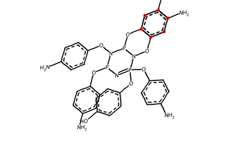 Nc1ccc(ON2P(Oc3ccc(N)cc3)N=P(Oc3ccc(N)cc3)(Oc3ccc(O)cc3)N(Oc3ccc(N)cc3)P2Oc2ccc(N)cc2)cc1